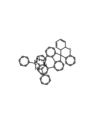 C1=CC2Sc3ccccc3C3(c4cccc(-c5nc(-c6ccccc6)nc(-c6ccccc6)n5)c4-c4c(-c5cccc6ncccc56)cccc43)C2C=C1